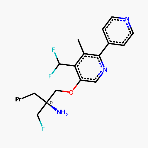 Cc1c(-c2ccncc2)ncc(OC[C@](N)(CF)CC(C)C)c1C(F)F